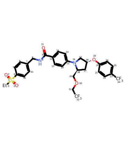 CCS(=O)(=O)c1ccc(CNC(=O)c2ccc(N3C[C@H](Oc4ccc(C(F)(F)F)cc4)C[C@H]3COCC(F)(F)F)cc2)cc1